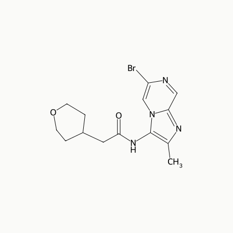 Cc1nc2cnc(Br)cn2c1NC(=O)CC1CCOCC1